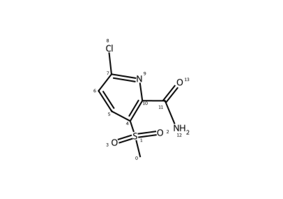 CS(=O)(=O)c1ccc(Cl)nc1C(N)=O